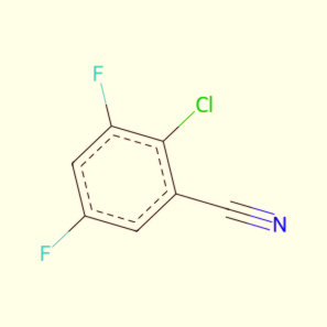 N#Cc1cc(F)cc(F)c1Cl